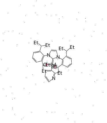 CCC(CC)c1cccc(C(CC)CC)c1-n1ccn(-c2c(C(CC)CC)cccc2C(CC)CC)[c]1=[Pd]([Cl])([Cl])[c]1cccnc1C